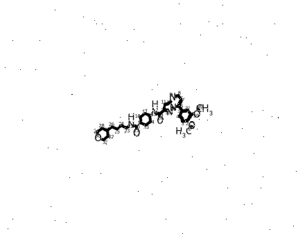 COc1ccc(-c2ccnc3cc(C(=O)N[C@H]4CC[C@H](C(=O)NCCCCC5CCOCC5)CC4)nn23)cc1OC